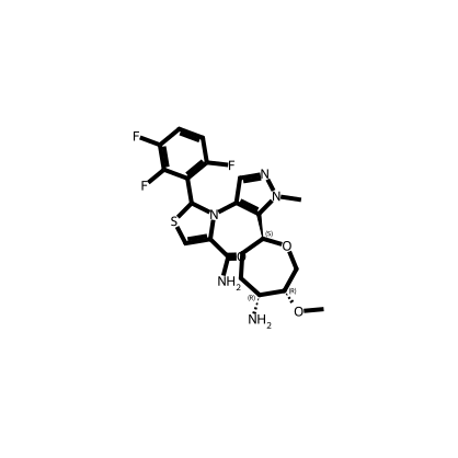 CO[C@H]1CO[C@H](c2c(N3C(C(N)=O)=CSC3c3c(F)ccc(F)c3F)cnn2C)CC[C@H]1N